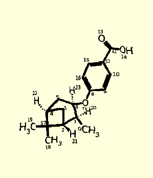 C[C@H]1[C@H]2C[C@H](C[C@H]1Oc1ccc(C(=O)O)cc1)C2(C)C